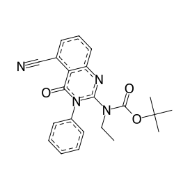 CCN(C(=O)OC(C)(C)C)c1nc2cccc(C#N)c2c(=O)n1-c1ccccc1